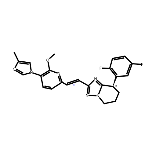 COc1nc(/C=C/c2nc3n(n2)CCC[C@@H]3c2cc(F)ccc2F)ccc1-n1cnc(C)c1